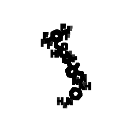 Cc1c(-c2cc(NC(=O)Cc3cc(C(F)(F)F)ccc3C(F)(F)F)nn2C)ccc2nc(NC3CCC(N)CC3)ncc12